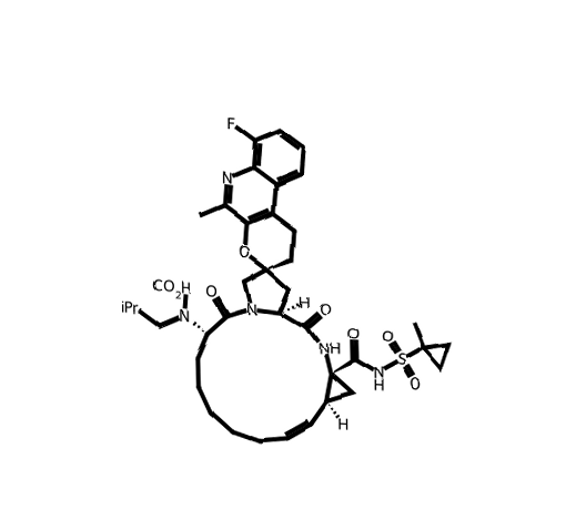 Cc1nc2c(F)cccc2c2c1O[C@]1(CC2)C[C@H]2C(=O)N[C@]3(C(=O)NS(=O)(=O)C4(C)CC4)C[C@H]3/C=C\CCCCC[C@H](N(CC(C)C)C(=O)O)C(=O)N2C1